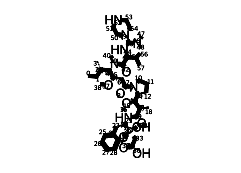 CC[C@H](C)[C@@H]([C@@H](CC(=O)N1CCC[C@H]1[C@H](OC)[C@@H](C)C(=O)N[C@@H](Cc1ccccc1)P(=O)(O)CC(=O)O)OC)N(C)C(=O)[C@@H](NC(N(C)C)N1CCNCC1)C(C)C